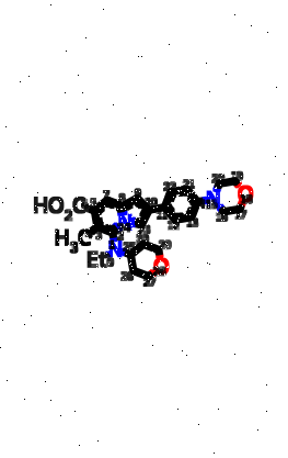 CCN(c1c(C)c(C(=O)O)cc2cc(-c3ccc(N4CCOCC4)cc3)cn12)C1CCOCC1